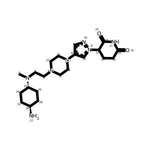 CN(CCN1CCN(c2cnn(C3CCC(=O)NC3=O)c2)CC1)[C@H]1CC[C@H](N)CC1